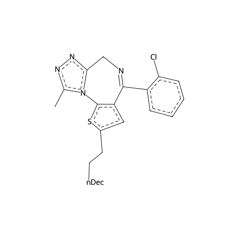 CCCCCCCCCCCCc1cc2c(s1)-n1c(C)nnc1CN=C2c1ccccc1Cl